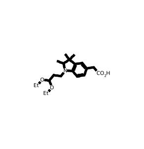 CCOC(CCN1c2ccc(CC(=O)O)cc2C(C)(C)C1C)OCC